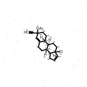 C#CC1(OC(C)=O)C=C2CC[C@@H]3[C@H](CCC4(CC)C=CC[C@@H]34)[C@H]2CC1